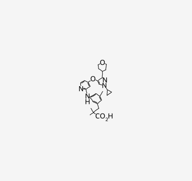 Cc1cc(CC(C)(C)C(=O)O)cc(Nc2cc(Oc3cn(C4CC4)nc3C3CCOCC3)ccn2)c1